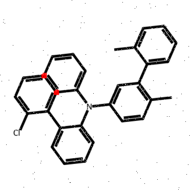 Cc1ccccc1-c1cc(N(c2ccccc2)c2ccccc2-c2ccccc2Cl)ccc1C